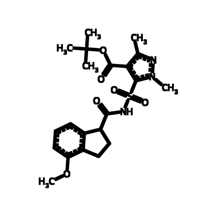 COc1cccc2c1CCC2C(=O)NS(=O)(=O)c1c(C(=O)OC(C)(C)C)c(C)nn1C